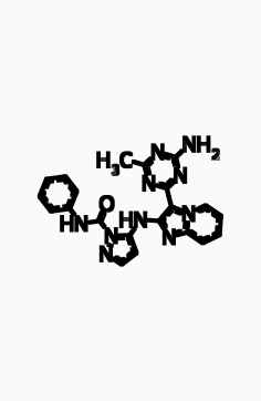 Cc1nc(N)nc(-c2c(Nc3ccnn3C(=O)Nc3ccccc3)nc3ccccn23)n1